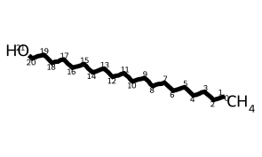 C.CCCCCCCCCCCCCCCCCCCCO